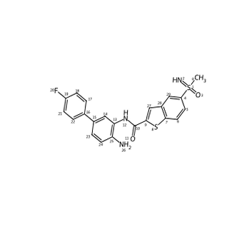 CS(=N)(=O)c1ccc2sc(C(=O)Nc3cc(-c4ccc(F)cc4)ccc3N)cc2c1